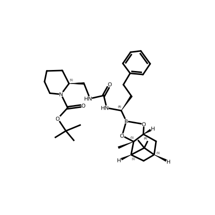 CC(C)(C)OC(=O)N1CCCC[C@H]1CNC(=O)N[C@@H](CCc1ccccc1)B1O[C@@H]2C[C@@H]3C[C@@H](C3(C)C)[C@]2(C)O1